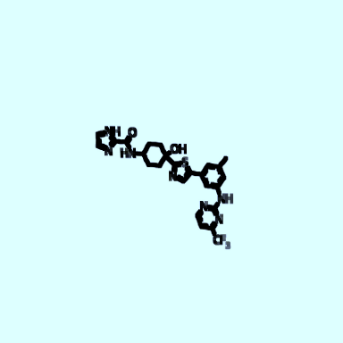 Cc1cc(Nc2nccc(C(F)(F)F)n2)cc(-c2cnc(C3(O)CCC(NC(=O)c4ncc[nH]4)CC3)s2)c1